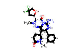 CN(C[C@@H]1CC(F)(F)CO1)/N=c1/c(-c2ccc(=O)n(C)c2)c(-c2ccccc2)nc(N)n1C=O